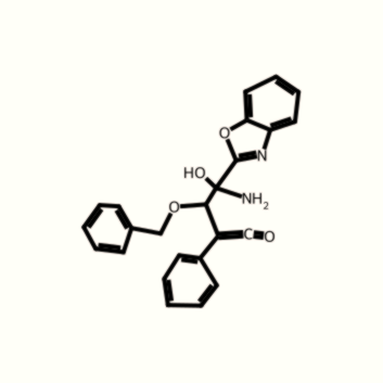 NC(O)(c1nc2ccccc2o1)C(OCc1ccccc1)C(=C=O)c1ccccc1